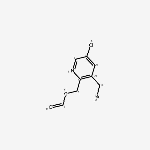 O=COCc1ncc(Cl)cc1CBr